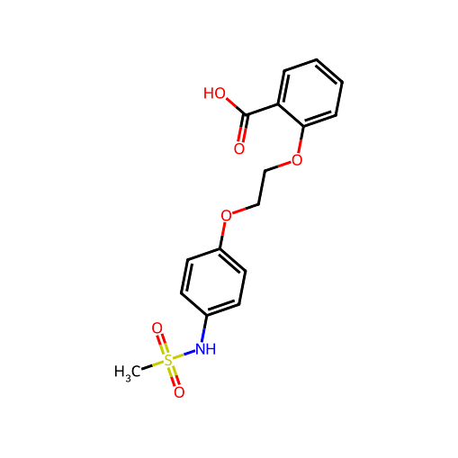 CS(=O)(=O)Nc1ccc(OCCOc2ccccc2C(=O)O)cc1